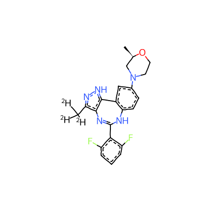 [2H]C([2H])([2H])c1n[nH]c2c1N=C(c1c(F)cccc1F)Nc1ccc(N3CCO[C@H](C)C3)cc1-2